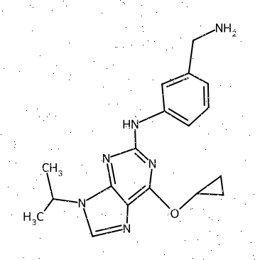 CC(C)n1cnc2c(OC3CC3)nc(Nc3cccc(CN)c3)nc21